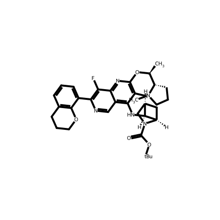 C[C@H](Oc1nc2c(F)c(-c3cccc4c3OCCC4)ncc2c(N[C@H]2[C@@H]3C[C@H]2N(C(=O)OC(C)(C)C)C3)c1I)[C@@H]1CCCN1C